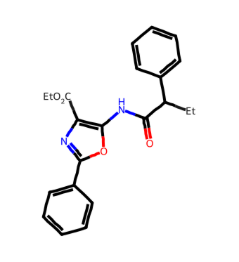 CCOC(=O)c1nc(-c2ccccc2)oc1NC(=O)C(CC)c1ccccc1